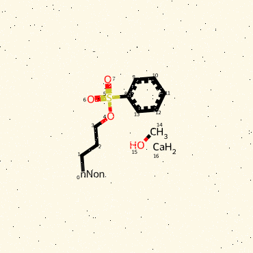 CCCCCCCCCCCCOS(=O)(=O)c1ccccc1.CO.[CaH2]